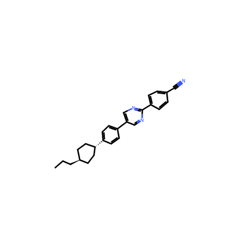 CCC[C@H]1CC[C@H](c2ccc(-c3cnc(-c4ccc(C#N)cc4)nc3)cc2)CC1